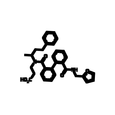 CC(CCc1ccccc1)N(CCC(=O)O)C(=O)c1ccccc1-c1ccccc1C(=O)NCc1ccco1